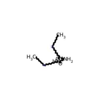 CCCCCCCC/C=C\CCCCCCCCNC(=O)C1CC(N)CN1C(=O)CCCCCCC/C=C\CCCCCCCC